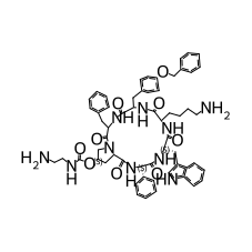 NCCCCC1NC(=O)[C@H](Cc2c[nH]c3ccccc23)NC(=O)[C@H](c2ccccc2)NC(=O)C2C[C@H](OC(=O)NCCN)CN2C(=O)C(Cc2ccccc2)NC(=O)C(Cc2ccc(OCc3ccccc3)cc2)NC1=O